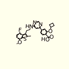 COc1ccc(F)c2c(CCNc3cc(-c4ccc(C(=O)O)c(OC5CCC5)c4)ncn3)c(C)sc12